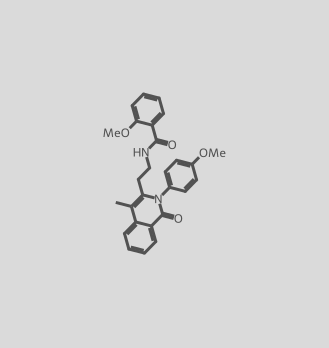 COc1ccc(-n2c(CCNC(=O)c3ccccc3OC)c(C)c3ccccc3c2=O)cc1